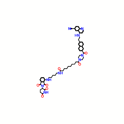 N#Cc1ccc2nccc(NCCc3ccc4cc(C(=O)N5CCN(C(=O)CCCCCCCCC(=O)NCCCCCNc6cccc7c6C(=O)N(C6CCC(=O)NC6=O)C7=O)CC5)ccc4c3)c2c1